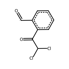 O=[C]c1ccccc1C(=O)C(Cl)Cl